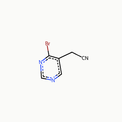 N#CCc1cncnc1Br